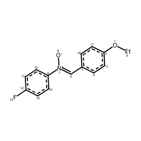 CCOc1ccc(/C=[N+](\[O-])c2ccc(F)cc2)cc1